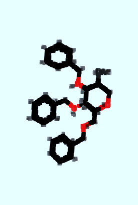 CC(=O)OC1COC(COCc2ccccc2)[C@H](OCc2ccccc2)C1OCc1ccccc1